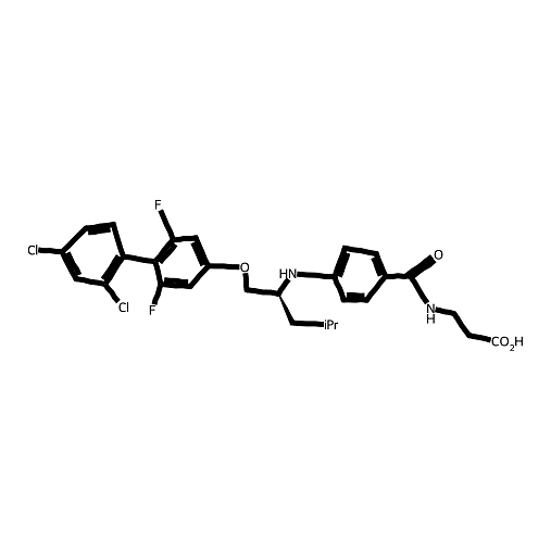 CC(C)C[C@@H](COc1cc(F)c(-c2ccc(Cl)cc2Cl)c(F)c1)Nc1ccc(C(=O)NCCC(=O)O)cc1